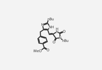 CCCCc1nc(Cc2ccc(C(=O)OC)cc2)c(/C=C2\NC(=O)N(CCCC)C2=O)[nH]1